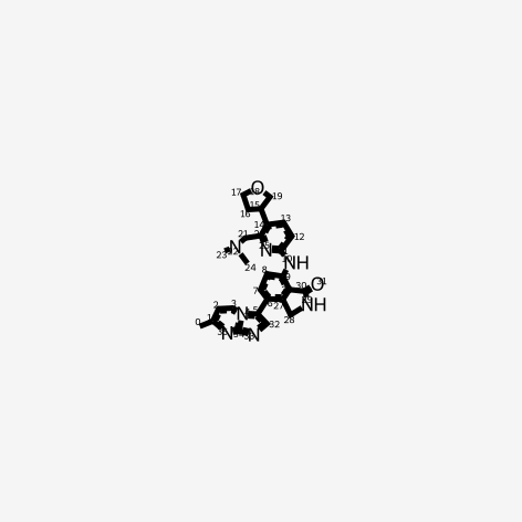 Cc1ccn2c(-c3ccc(Nc4ccc(C5CCOC5)c(CN(C)C)n4)c4c3CNC4=O)cnc2n1